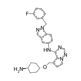 N[C@H]1CC[C@H](OCc2ccn3ncnc(Nc4ccc5c(cnn5Cc5cccc(F)c5)c4)c23)CC1